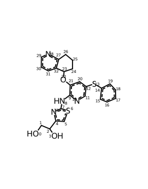 OCC(O)c1csc(Nc2ncc(Sc3ccccc3)cc2OC2CCCc3ncccc32)n1